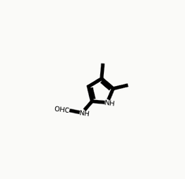 Cc1cc(NC=O)[nH]c1C